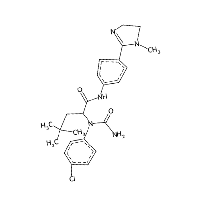 CN1CCN=C1c1ccc(NC(=O)C(CC(C)(C)C)N(C(N)=O)c2ccc(Cl)cc2)cc1